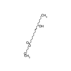 CCCCCCC(O)C/C=C/CCCCCCCC(=O)OCCCCOC